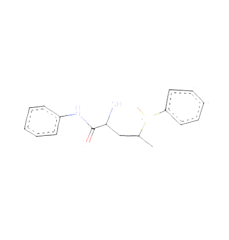 CC(CC(N)C(=O)Nc1ccccc1)[S+]([O-])c1ccccc1